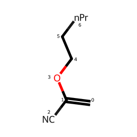 C=C(C#N)OCCCCC